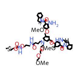 COCCOCCOCCN(CCCC(=O)NCCCONC(=O)OCC[Si](C)(C)C)c1cc(COc2cc(N)c(C(=O)N3c4ccccc4C[C@H]3C)cc2OC)cc(COc2cc3c(cc2OC)C(=O)N2c4ccccc4C[C@H]2CN3)c1